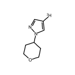 [2H]c1cnn(C2CCOCC2)c1